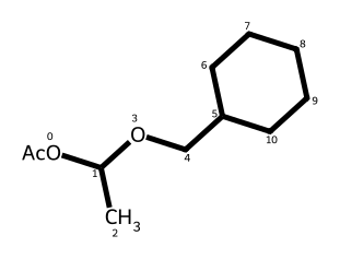 CC(=O)OC(C)OCC1CCCCC1